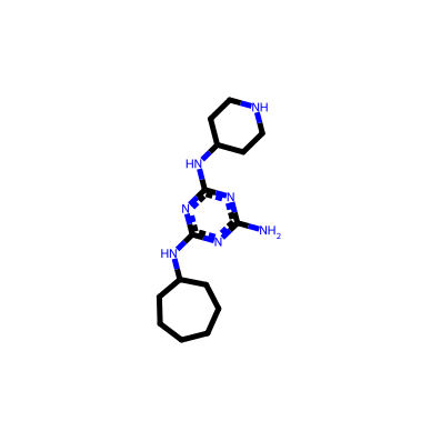 Nc1nc(NC2CCCCCC2)nc(NC2CCNCC2)n1